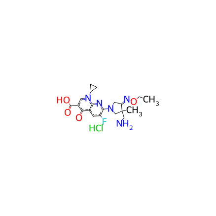 CCON=C1CN(c2nc3c(cc2F)c(=O)c(C(=O)O)cn3C2CC2)CC1(C)CN.Cl